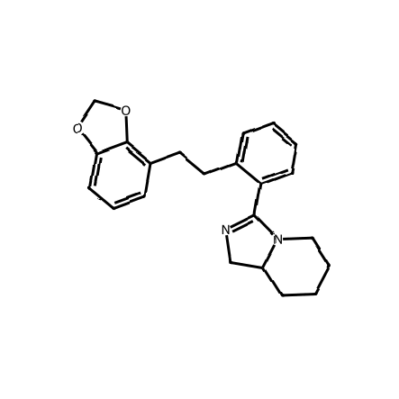 c1ccc(C2=NCC3CCCCN23)c(CCc2cccc3c2OCO3)c1